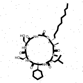 CCCCCCCCCC[C@H]1OC(=O)CNC(=O)[C@H](CO)NC(=O)[C@H](CO)NC(=O)[C@H](C2CCCCC2)NC(=O)[C@H](CC(C)C)N(C)C(=O)[C@@H]1C